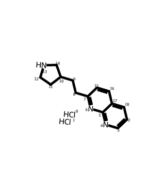 Cl.Cl.c1cnc2nc(CCC3CCNC3)ccc2c1